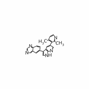 Cc1ccnc(C)c1-c1cnc2[nH]cc(-c3ccc4ncncc4c3)c2c1